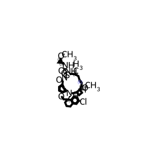 CO[C@H]1/C=C/C[C@H](C)CS(=O)(NC(=O)N[C@H]2C[C@@H]2OC)=NC(=O)c2ccc3c(c2)N(C[C@@H]2CC[C@H]21)C[C@@]1(CCCc2cc(Cl)ccc21)CO3